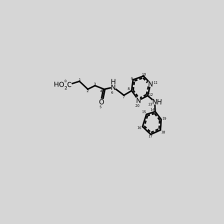 O=C(O)CCCC(=O)NCc1ccnc(Nc2ccccc2)n1